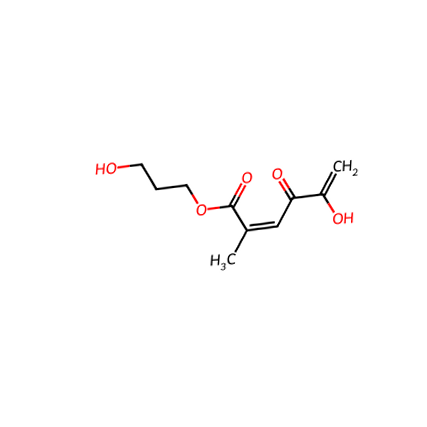 C=C(O)C(=O)C=C(C)C(=O)OCCCO